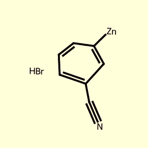 Br.N#Cc1ccc[c]([Zn])c1